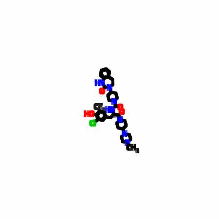 CN1CCN(C2CCN(C(=O)[C@@H](Cc3cc(Cl)c(O)c(C(F)(F)F)c3)NC(=O)N3CCC(N4CCc5ccccc5NC4=O)CC3)CC2)CC1